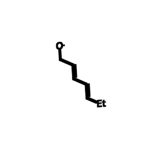 CCC=CC=CC[O]